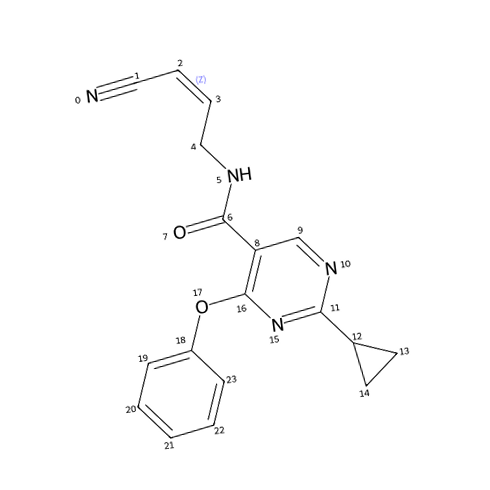 N#C/C=C\CNC(=O)c1cnc(C2CC2)nc1Oc1ccccc1